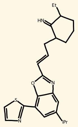 CCC1CCCC(C/C=C/c2nc3cc(C(C)C)cc(-c4nccs4)c3o2)C1=N